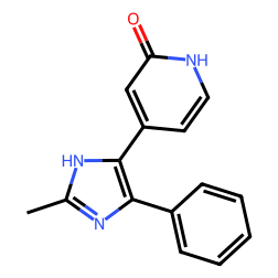 Cc1nc(-c2ccccc2)c(-c2cc[nH]c(=O)c2)[nH]1